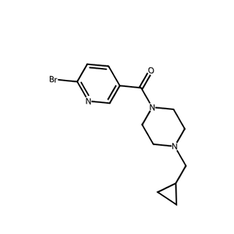 O=C(c1ccc(Br)nc1)N1CCN(CC2CC2)CC1